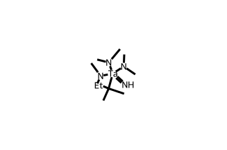 CC[C](C)(C)[Ta](=[NH])([N](C)C)([N](C)C)[N](C)C